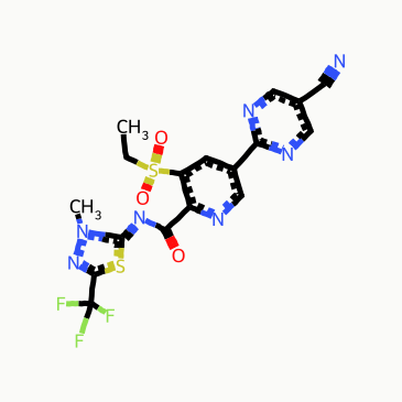 CCS(=O)(=O)c1cc(-c2ncc(C#N)cn2)cnc1C(=O)/N=c1\sc(C(F)(F)F)nn1C